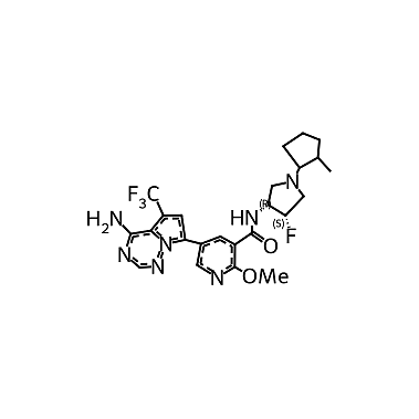 COc1ncc(-c2cc(C(F)(F)F)c3c(N)ncnn23)cc1C(=O)N[C@@H]1CN(C2CCCC2C)C[C@@H]1F